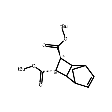 CC(C)(C)OC(=O)[C@H]1C2C3C=CC(C3)C2[C@@H]1C(=O)OC(C)(C)C